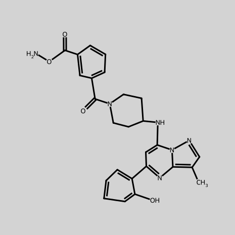 Cc1cnn2c(NC3CCN(C(=O)c4cccc(C(=O)ON)c4)CC3)cc(-c3ccccc3O)nc12